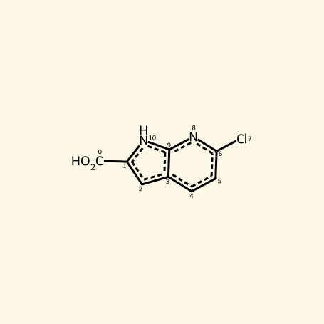 O=C(O)c1cc2ccc(Cl)nc2[nH]1